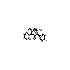 O=C(C(=C1N=CC=CS1)[N+](=O)[O-])C(=C1N=CC=CS1)[N+](=O)[O-]